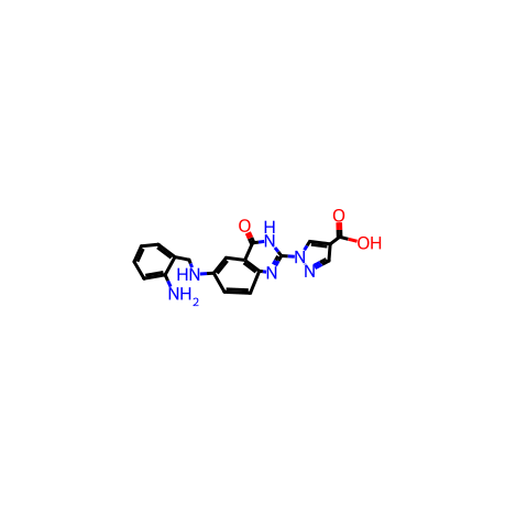 Nc1ccccc1CNc1ccc2nc(-n3cc(C(=O)O)cn3)[nH]c(=O)c2c1